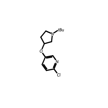 CC(C)(C)N1CCC(Oc2ccc(Cl)nc2)C1